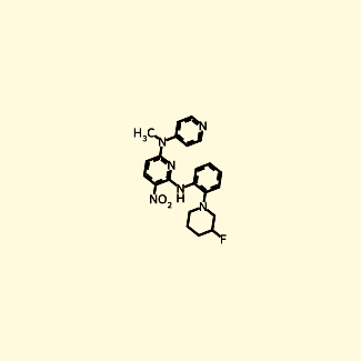 CN(c1ccncc1)c1ccc([N+](=O)[O-])c(Nc2ccccc2N2CCCC(F)C2)n1